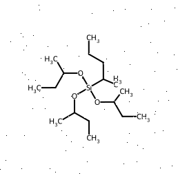 CCCC(C)[Si](OC(C)CC)(OC(C)CC)OC(C)CC